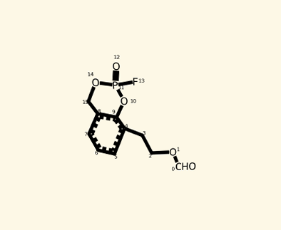 O=COCCc1cccc2c1OP(=O)(F)OC2